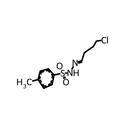 Cc1ccc(S(=O)(=O)NN=CCCCCl)cc1